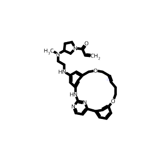 C=CC(=O)N1CCC(N(C)CCNc2cc3cc(c2)Nc2nccc(n2)-c2cccc(c2)OCC/C=C/COC3)C1